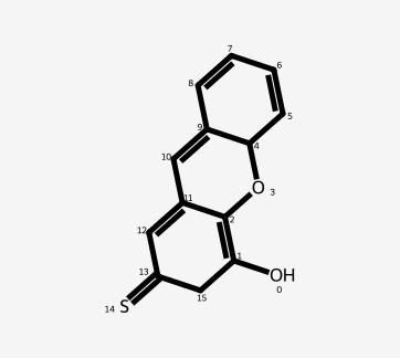 OC1=C2OC3C=CC=CC3=CC2=CC(=S)C1